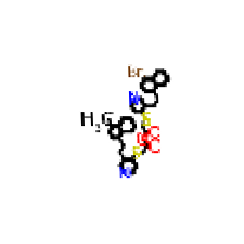 Cc1ccc(CCc2cnccc2SCC(=O)OC(=O)CSc2ccncc2CCc2ccc(Br)c3ccccc23)c2ccccc12